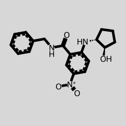 O=C(NCc1ccccc1)c1cc([N+](=O)[O-])ccc1N[C@@H]1CCC[C@H]1O